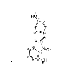 O=C1/C(=C/c2ccc(O)cc2)Oc2cccc(O)c21